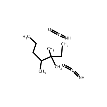 CCCC(C)C(C)(C)CC.N=C=O.N=C=O